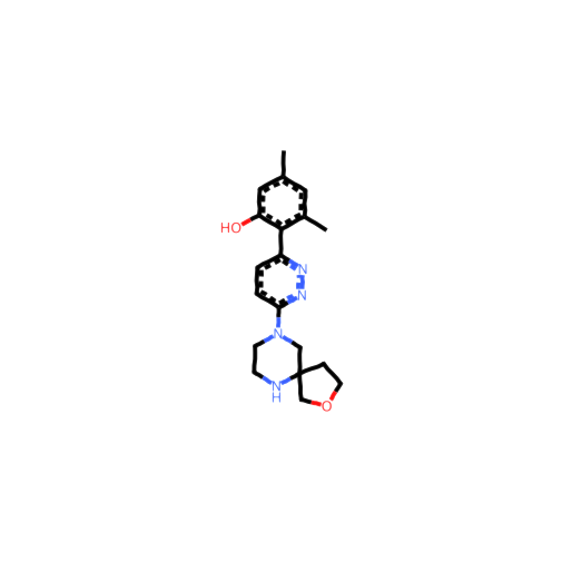 Cc1cc(C)c(-c2ccc(N3CCNC4(CCOC4)C3)nn2)c(O)c1